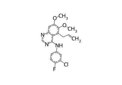 C=CCc1c(OC)c(OC)cc2ncnc(Nc3ccc(F)c(Cl)c3)c12